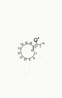 CCC(OC)/C1=C\CCCCCCCCCC1